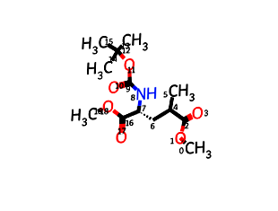 COC(=O)C(C)C[C@@H](NC(=O)OC(C)(C)C)C(=O)OC